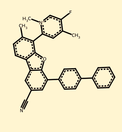 Cc1cc(-c2c(C)ccc3c2oc2c(-c4ccc(-c5ccccc5)cc4)cc(C#N)cc23)[n+](C)cc1F